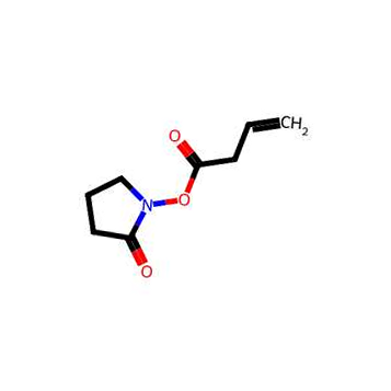 C=CCC(=O)ON1CCCC1=O